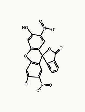 O=C1OC2(c3cc([N+](=O)[O-])c(O)cc3Oc3cc(O)c([N+](=O)[O-])cc32)c2ccccc21